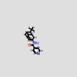 CC(C)(C)C1C2CC3CC1CC(NC(=O)c1ccncc1)(C3)C2